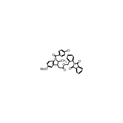 COc1ccc2c(c1)C(CC(=O)OCc1ccccc1N1C(=O)c3ccccc3C1=O)C(C)N2C(=O)c1ccc(Cl)cc1